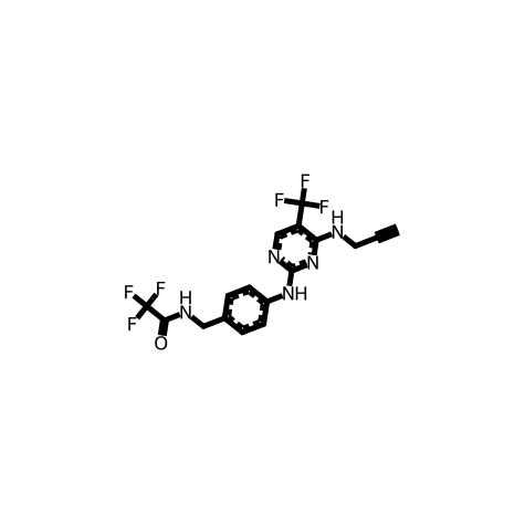 C#CCNc1nc(Nc2ccc(CNC(=O)C(F)(F)F)cc2)ncc1C(F)(F)F